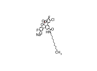 CCCCCCCCCCCCNC(=O)c1cc(-c2ccc(F)c(Cl)c2)c(C(=O)C(=O)[O-])c(-c2ccc(F)c(Cl)c2)c1.[Na+]